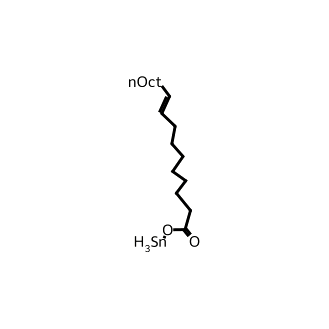 CCCCCCCCC=CCCCCCCCC(=O)[O][SnH3]